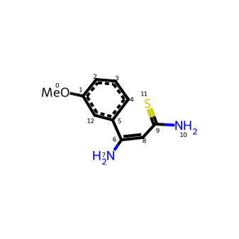 COc1cccc(/C(N)=C\C(N)=S)c1